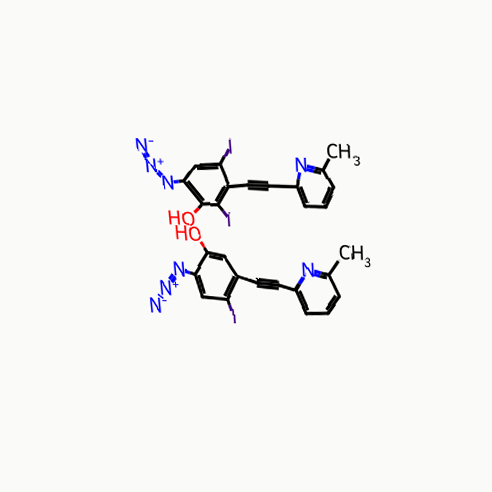 Cc1cccc(C#Cc2c(I)cc(N=[N+]=[N-])c(O)c2I)n1.Cc1cccc(C#Cc2cc(O)c(N=[N+]=[N-])cc2I)n1